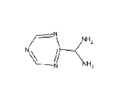 NC(N)c1ncncn1